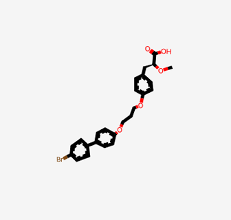 CO[C@@H](Cc1ccc(OCCCOc2ccc(-c3ccc(Br)cc3)cc2)cc1)C(=O)O